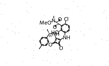 CON(C)S(=O)(=O)c1c(Cl)ccc(Nc2c(N[C@H](C)c3ccc(C)cc3)c(=O)c2=O)c1O